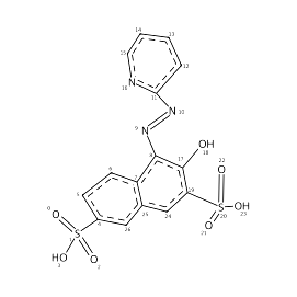 O=S(=O)(O)c1ccc2c(/N=N/c3ccccn3)c(O)c(S(=O)(=O)O)cc2c1